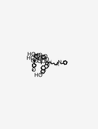 COc1ccc(C(=O)O[C@H]2[C@H](O[C@@H]3[C@@H](OC(C)=O)[C@H](O[C@H]4CC5C6CC=C7C[C@@H](O)CC[C@]7(C)C6CC[C@]5(C)[C@H]4[C@H](C)CCC[C@@H](C)CN(C)Cc4ccccc4)OC[C@@H]3O)OC[C@@H](O)[C@@H]2O)cc1